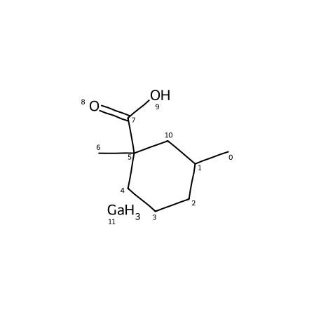 CC1CCCC(C)(C(=O)O)C1.[GaH3]